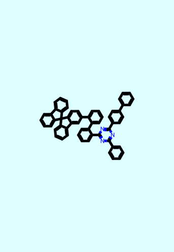 c1ccc(-c2ccc(-c3nc(-c4ccccc4)nc(-c4ccccc4-c4ccccc4-c4ccc5c(c4)-c4ccccc4C54c5ccccc5-c5ccccc54)n3)cc2)cc1